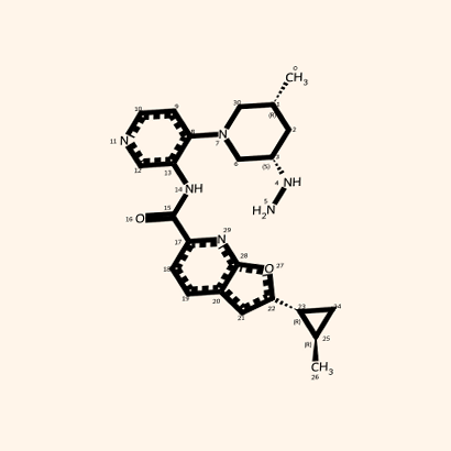 C[C@@H]1C[C@H](NN)CN(c2ccncc2NC(=O)c2ccc3cc([C@@H]4C[C@H]4C)oc3n2)C1